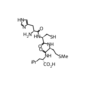 CSCC[C@H](NC(=O)[C@H](CS)NC(=O)[C@@H](N)Cc1c[nH]cn1)C(=O)N[C@@H](CC(C)C)C(=O)O